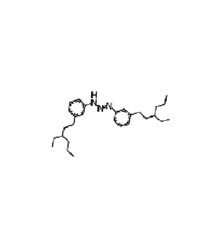 CCCC(CC)CCc1cccc(/N=N/Nc2cccc(CCC(CC)CCC)c2)c1